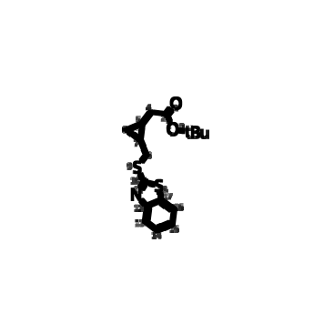 CC(C)(C)OC(=O)CC1CC1CSc1nc2ccccc2s1